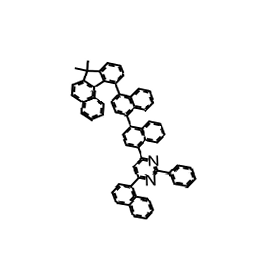 CC1(C)c2cccc(-c3ccc(-c4ccc(-c5cc(-c6cccc7ccccc67)nc(-c6ccccc6)n5)c5ccccc45)c4ccccc34)c2-c2c1ccc1ccccc21